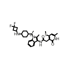 CSc1cc(C)[nH]c(=O)c1CC(=O)Nc1c(C)n([C@H](C)C2CCC(NC3CC(F)(F)C3)CC2)c2ccccc12